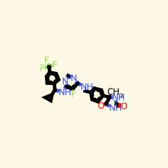 CC1(c2ccc(CNc3ncnc(NC(c4ccc(C(F)(F)F)cc4)C4CC4)c3F)cc2)NC(=O)NC1=O